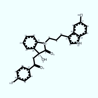 O=C(C[C@]1(O)C(=O)N(CCCc2c[nH]c3ccc(Cl)cc23)c2ccccc21)c1ccc(F)cc1